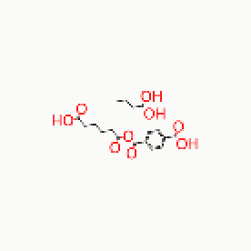 CCCC(O)O.O=C(O)CCCCC(=O)OC(=O)c1ccc(C(=O)O)cc1